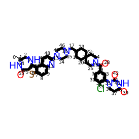 C[C@@H]1CNc2c(sc3ccc4nc(N5CCN(CC6CCC7(CC6)CCN(C(=O)c6ccc(Cl)c(N8CCC(=O)NC8=O)c6)CC7)CC5)ccc4c23)C(=O)N1